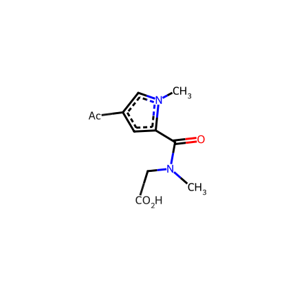 CC(=O)c1cc(C(=O)N(C)CC(=O)O)n(C)c1